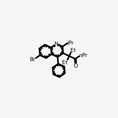 CCCC(=O)C(CC)(CC)c1c(C(C)C)nc2ccc(Br)cc2c1-c1ccccc1